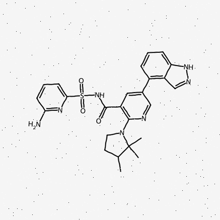 CC1CCN(c2ncc(-c3cccc4[nH]ncc34)cc2C(=O)NS(=O)(=O)c2cccc(N)n2)C1(C)C